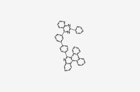 c1ccc(-c2nc(-c3cccc(-c4ccc(-c5nc6ccccc6c6c7ccccc7c7ccccc7c56)cc4)c3)c3ccccc3n2)cc1